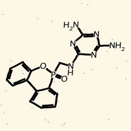 Nc1nc(N)nc(NCP2(=O)Oc3ccccc3-c3ccccc32)n1